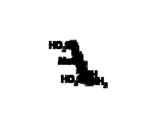 COc1cc(N=Nc2cccc(S(=O)(=O)O)c2)ccc1N=Nc1cc(C)c(N=Nc2c(S(=O)(=O)O)cc3ccc(N)cc3c2O)cc1C